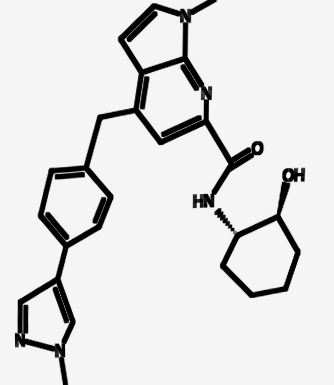 Cn1cc(-c2ccc(Cc3cc(C(=O)N[C@H]4CCCC[C@@H]4O)nc4c3ccn4C)cc2)cn1